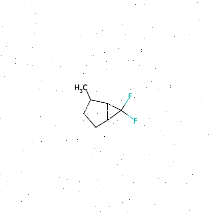 CC1CCC2C1C2(F)F